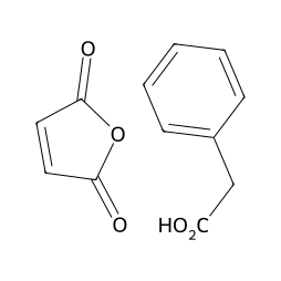 O=C(O)Cc1ccccc1.O=C1C=CC(=O)O1